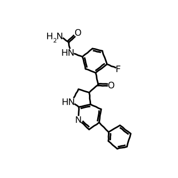 NC(=O)Nc1ccc(F)c(C(=O)C2CNc3ncc(-c4ccccc4)cc32)c1